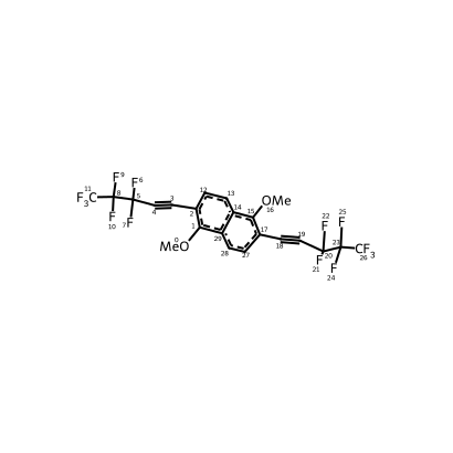 COc1c(C#CC(F)(F)C(F)(F)C(F)(F)F)ccc2c(OC)c(C#CC(F)(F)C(F)(F)C(F)(F)F)ccc12